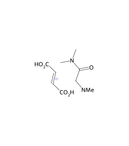 CNCC(=O)N(C)C.O=C(O)/C=C/C(=O)O